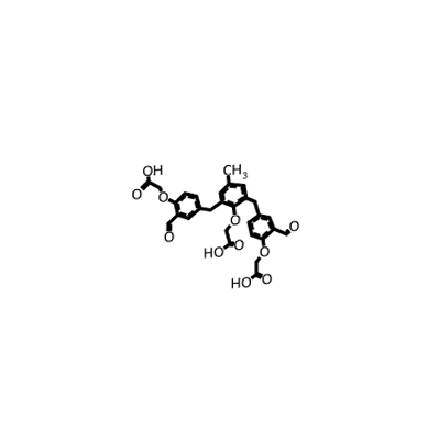 Cc1cc(Cc2ccc(OCC(=O)O)c(C=O)c2)c(OCC(=O)O)c(Cc2ccc(OCC(=O)O)c(C=O)c2)c1